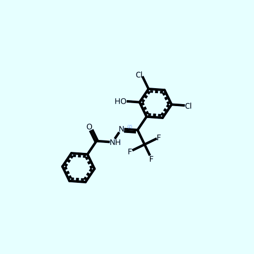 O=C(N/N=C(/c1cc(Cl)cc(Cl)c1O)C(F)(F)F)c1ccccc1